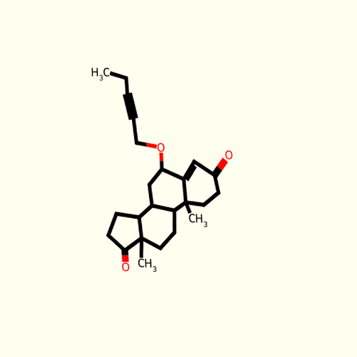 CCC#CCOC1CC2C3CCC(=O)C3(C)CCC2C2(C)CCC(=O)C=C12